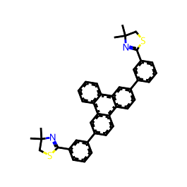 CC1(C)CSC(c2cccc(-c3ccc4c5ccc(-c6cccc(C7=NC(C)(C)CS7)c6)cc5c5ccccc5c4c3)c2)=N1